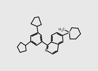 CS1(c2ccc3c(-c4cc(C5CCCC5)cc(C5CCCC5)c4)nccc3c2)CCCCC1